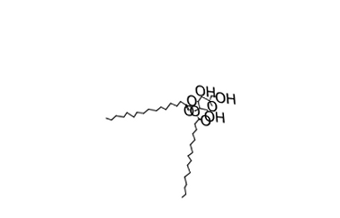 CCCCCCCCCCCCCCCC(=O)O[C@H]1[C@H](O)[C@@H](CO)O[C@@H](O)[C@H]1OC(=O)CCCCCCCCCCCCCCC